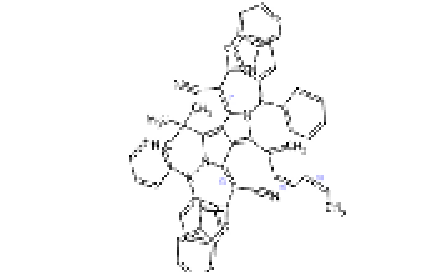 C=C(/C=C\C=C/C)c1c2/c(=C(\C#N)c3nc4ccccc4s3)n(B(c3ccccc3)c3ccccc3)c(C(C)(C)C)c2/c(=C(\C#N)c2nc3ccccc3s2)n1B(c1ccccc1)c1ccccc1